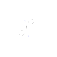 CN[C@H]1OC(=C2C(=O)Nc3ccc(Cl)cc32)c2ccccc21